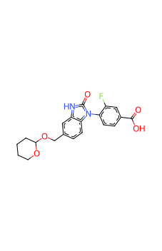 O=C(O)c1ccc(-n2c(=O)[nH]c3cc(COC4CCCCO4)ccc32)c(F)c1